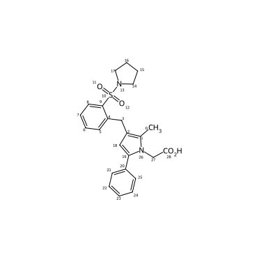 Cc1c(Cc2ccccc2S(=O)(=O)N2CCCC2)cc(-c2ccccc2)n1CC(=O)O